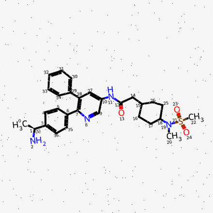 C[C@H](N)c1ccc(-c2ncc(NC(=O)CC3CCC(N(C)S(C)(=O)=O)CC3)cc2-c2ccccc2)cc1